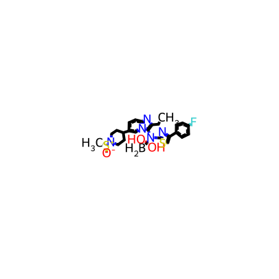 BC(O)(O)N(c1nc(-c2ccc(F)cc2)cs1)c1c(CC)nc2ccc(C3CCN([S+](C)[O-])CC3)cn12